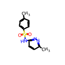 Cc1ccc(S(=O)(=O)Nc2ccc(C)nn2)cc1